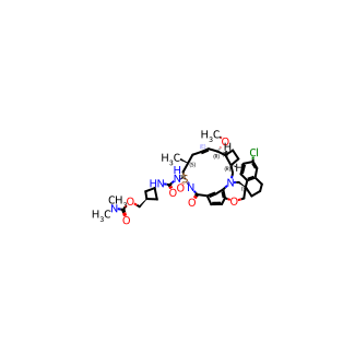 CO[C@H]1/C=C/C[C@H](C)C[S@@](=O)(NC(=O)N[C@H]2C[C@H](COC(=O)N(C)C)C2)=NC(=O)c2ccc3c(c2)N(C[C@@H]2CC[C@H]21)C[C@@]1(CCCc2cc(Cl)ccc21)CO3